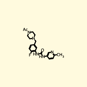 CC(=O)N1CCN(Cc2ccc(F)c(NC(=O)Nc3ccc(C)nc3)c2)CC1